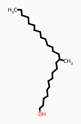 CCCCCCCCCCCCCCC(C)CCCCCCCCCCCO